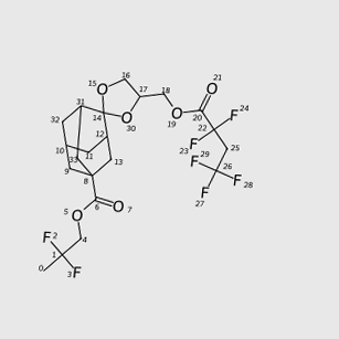 CC(F)(F)COC(=O)C12CC3CC(C1)C1(OCC(COC(=O)C(F)(F)CC(F)(F)F)O1)C(C3)C2